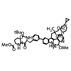 CCn1c(-c2cc(N3CCN(C4CC4)CC3)cnc2[C@H](C)OC)c(CC(C)(C)COC(C)=O)c2cc(-c3cccc(C[C@H](NC(=O)OC(C)(C)C)C(=O)N4CCC[C@@H](C(=O)OC)N4)c3)ccc21